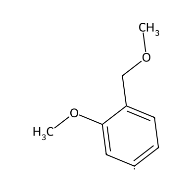 COCc1cc[c]cc1OC